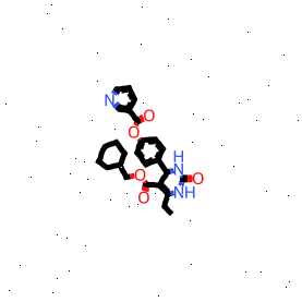 CCC1=C(C(=O)OCC2CCCCC2)C(c2ccc(OC(=O)c3cccnc3)cc2)NC(=O)N1